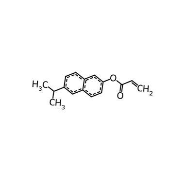 C=CC(=O)Oc1ccc2cc(C(C)C)ccc2c1